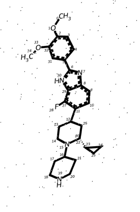 COc1ccc(-c2nc3ccc(C4CCN(C5CCNCC5)[C@@H](C5CC5)C4)c(F)c3[nH]2)cc1OC